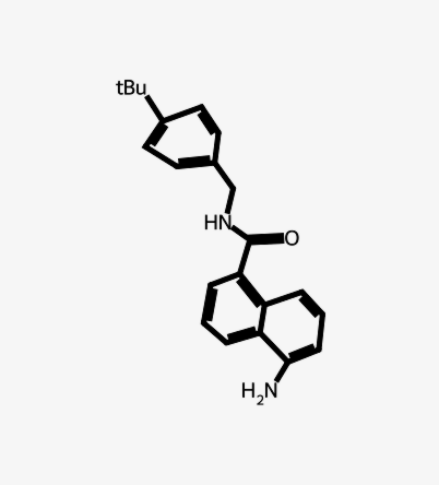 CC(C)(C)c1ccc(CNC(=O)c2cccc3c(N)cccc23)cc1